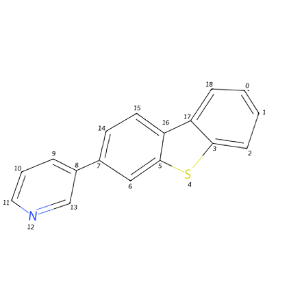 [c]1ccc2sc3cc(-c4cccnc4)ccc3c2c1